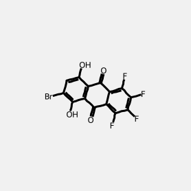 O=C1c2c(O)cc(Br)c(O)c2C(=O)c2c(F)c(F)c(F)c(F)c21